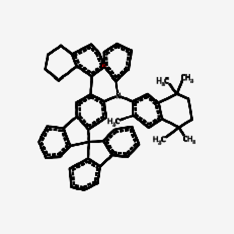 Cc1cc2c(cc1N(c1ccccc1)c1cc3c(cc1-c1cccc4c1CCCC4)-c1ccccc1C31c3ccccc3-c3ccccc31)C(C)(C)CCC2(C)C